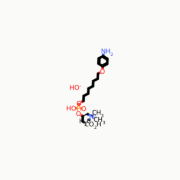 C[N+](C)(C)C[C@@H](CC(=O)O)OP(=O)(O)OCCCCCCCCOc1ccc(N)cc1.[OH-]